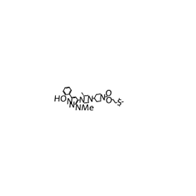 CNc1nnc(-c2ccccc2O)cc1N1CCN(C2CCN(C(=O)OCCS(C)(C)C)CC2)C[C@@H]1C